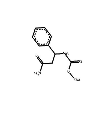 CC(C)(C)OC(=O)NC(CC(N)=O)c1ccccc1